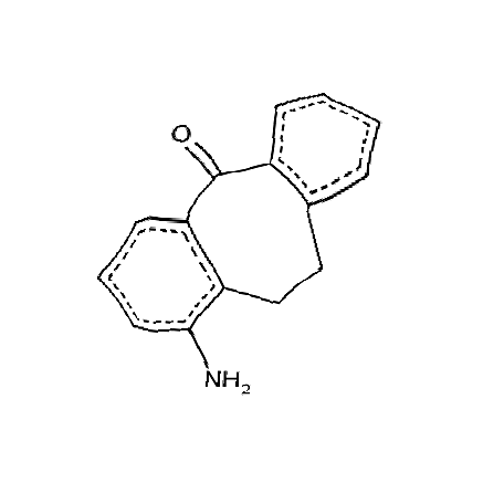 Nc1cccc2c1CCc1ccccc1C2=O